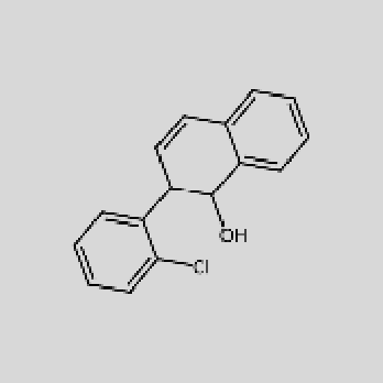 OC1c2ccccc2C=CC1c1ccccc1Cl